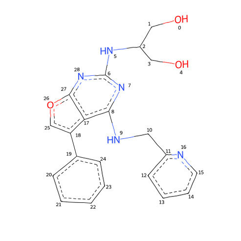 OCC(CO)Nc1nc(NCc2ccccn2)c2c(-c3ccccc3)coc2n1